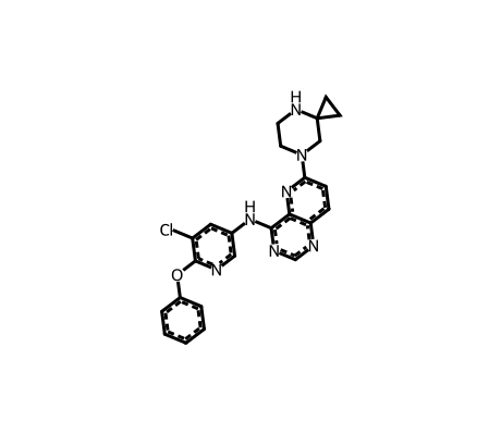 Clc1cc(Nc2ncnc3ccc(N4CCNC5(CC5)C4)nc23)cnc1Oc1ccccc1